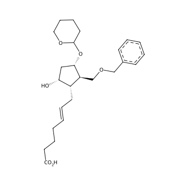 O=C(O)CCCC=CC[C@H]1[C@H](COCc2ccccc2)[C@@H](OC2CCCCO2)C[C@H]1O